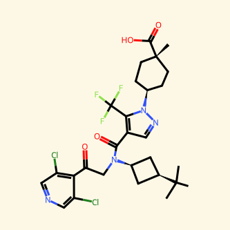 CC(C)(C)[C@H]1C[C@@H](N(CC(=O)c2c(Cl)cncc2Cl)C(=O)c2cnn([C@H]3CC[C@](C)(C(=O)O)CC3)c2C(F)(F)F)C1